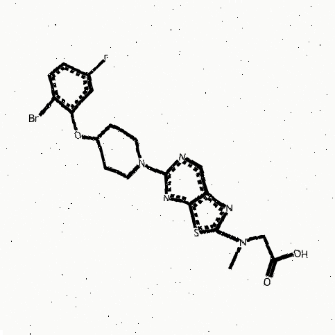 CN(CC(=O)O)c1nc2cnc(N3CCC(Oc4cc(F)ccc4Br)CC3)nc2s1